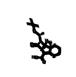 C[C@@H](O[Si](C)(C)C)[C@H]1C(=O)N2C(C(=O)O)=C3SCCS[C@@H]3[C@H]12